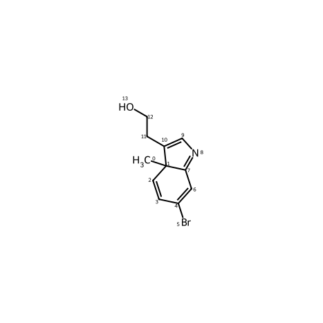 CC12C=CC(Br)=CC1=NC=C2CCO